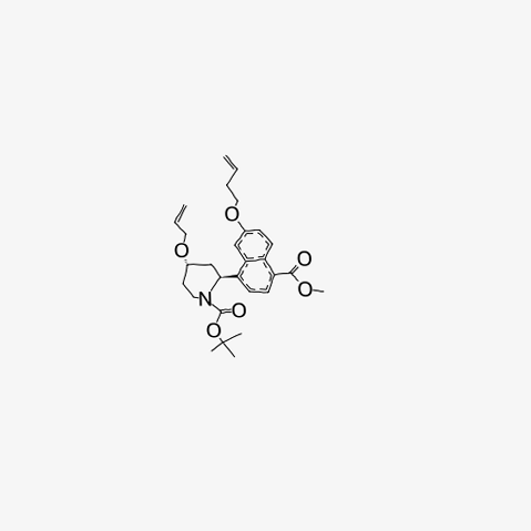 C=CCCOc1ccc2c(C(=O)OC)ccc([C@@H]3C[C@@H](OCC=C)CCN3C(=O)OC(C)(C)C)c2c1